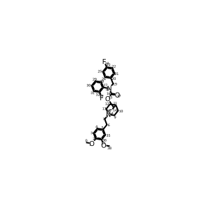 COc1ccc(CC[N+]23CCC(CC2)C(OC(=O)N(Cc2ccc(F)cc2)c2ccccc2F)C3)cc1OC